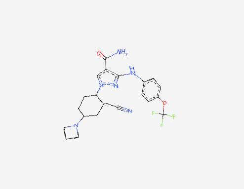 N#CC1CC(N2CCC2)CCC1n1cc(C(N)=O)c(Nc2ccc(OC(F)(F)F)cc2)n1